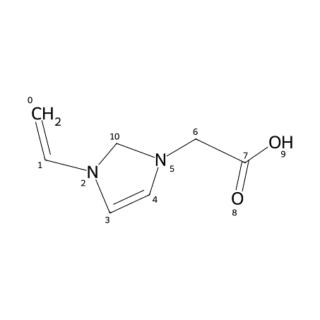 C=CN1C=CN(CC(=O)O)C1